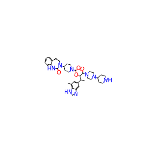 Cc1cc(C(C)C(OC(=O)N2CCC(N3CCc4ccccc4NC3=O)CC2)C(=O)N2CCN(C3CCNCC3)CC2)cc2nc[nH]c12